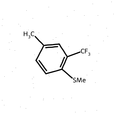 CSc1ccc(C)cc1C(F)(F)F